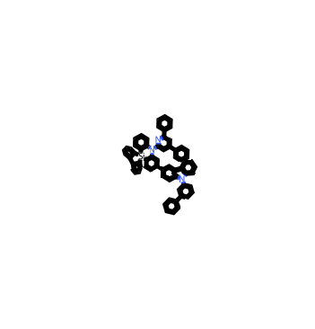 c1ccc(-c2cccc(-n3c4ccccc4c4cc(-c5ccc6c(c5)N(c5cc(-c7ccccc7)cc(-c7ccccc7)n5)c5ccccc5[Si]65c6ccccc6-c6ccccc65)ccc43)c2)cc1